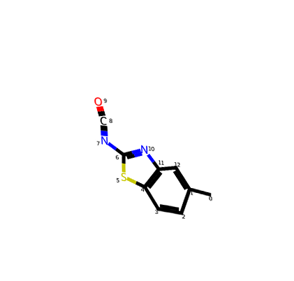 Cc1ccc2sc(N=C=O)nc2c1